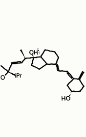 C=C1CC[C@H](O)CC1=CC=C1CCC[C@@]2(C)C1CC[C@@]2(O)[C@H](C)C=C[C@@](C)(O)C(C)C